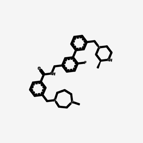 C[C@H]1CN(Cc2cccc(-c3cc(CNC(=O)c4cccc(CN5CCCN(C)CC5)c4)ccc3F)c2)CCN1